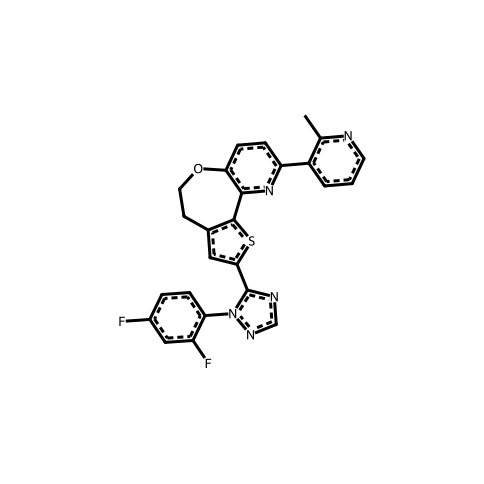 Cc1ncccc1-c1ccc2c(n1)-c1sc(-c3ncnn3-c3ccc(F)cc3F)cc1CCO2